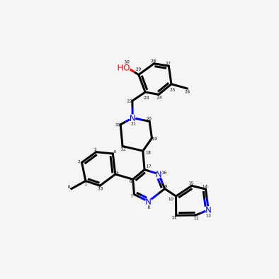 Cc1cccc(-c2cnc(-c3ccncc3)nc2C2CCN(Cc3cc(C)ccc3O)CC2)c1